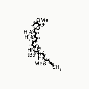 CC#CC[C@@H](C/C=C\NC(=O)[C@@H](NC(=O)\C=C/C=C\C(C)=C\[C@H](C)[C@@H]1CC=C(OC)C(=O)O1)C(C)(C)C)OC